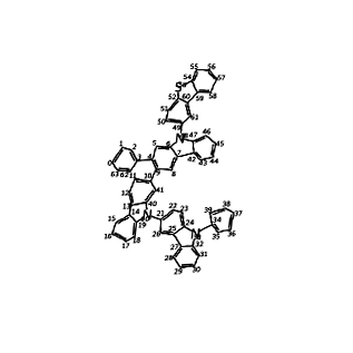 c1ccc(-c2cc3c(cc2-c2ccc4c5ccccc5n(-c5ccc6c(c5)c5ccccc5n6-c5ccccc5)c4c2)c2ccccc2n3-c2ccc3sc4ccccc4c3c2)cc1